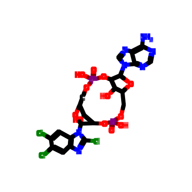 Nc1ncnc2c1ncn2C1OC2COP(=O)(O)OC3C(O)C(COP(=O)(O)OC1C2O)OC3n1c(Cl)nc2cc(Cl)c(Cl)cc21